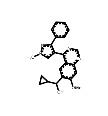 COc1cc2ncnc(-c3cn(C)nc3-c3ccccc3)c2cc1C(O)C1CC1